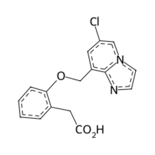 O=C(O)Cc1ccccc1OCc1cc(Cl)cn2ccnc12